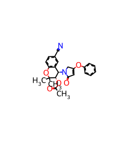 CC(=O)O[C@H]1[C@H](N2CC(Oc3ccccc3)=CC2=O)c2cc(C#N)ccc2OC1(C)C